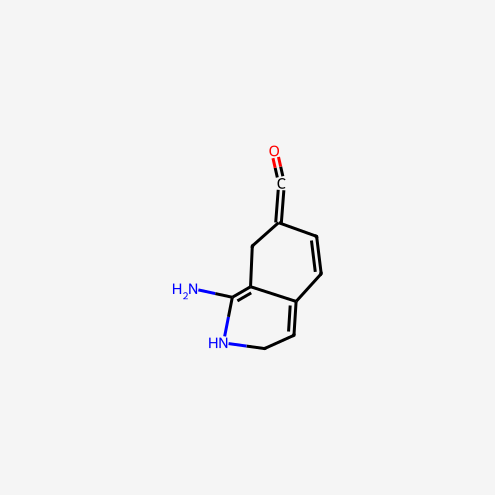 NC1=C2CC(=C=O)C=CC2=CCN1